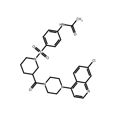 CC(=O)Nc1ccc(S(=O)(=O)N2CCCC(C(=O)N3CCN(c4ccnc5cc(Cl)ccc45)CC3)C2)cc1